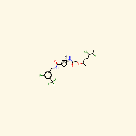 CC(CCC(Cl)C(C)F)OCC(=O)N[C@H]1CC2(C(=O)NCc3cc(F)cc(C(F)(F)F)c3)CC1C2